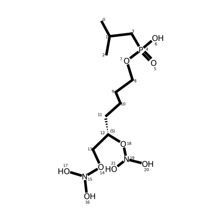 CC(C)CP(=O)(O)OCCCC[C@@H](CON(O)O)ON(O)O